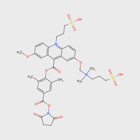 COc1ccc2c(c1)c(C(=O)Oc1c(C)cc(C(=O)ON3C(=O)CCC3=O)cc1C)c1cc(OC[N+](C)(C)CCCS(=O)(=O)O)ccc1[n+]2CCCS(=O)(=O)O